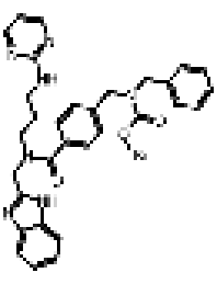 CC(C)(C)OC(=O)N(Cc1ccccc1)Cc1ccc(C(=O)N(CCCNc2ncccn2)Cc2nc3ccccc3[nH]2)cc1